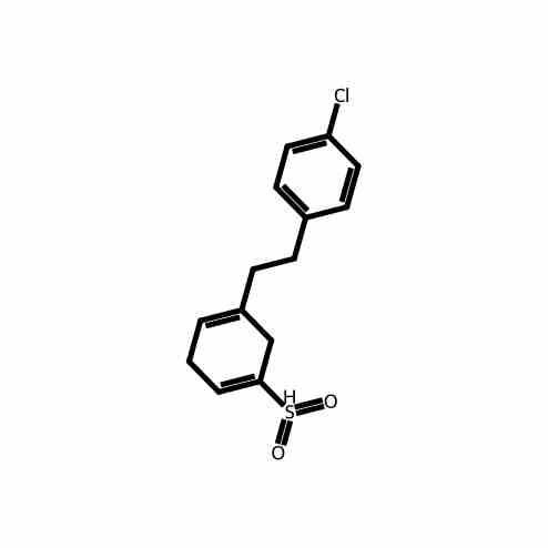 O=[SH](=O)C1=CCC=C(CCc2ccc(Cl)cc2)C1